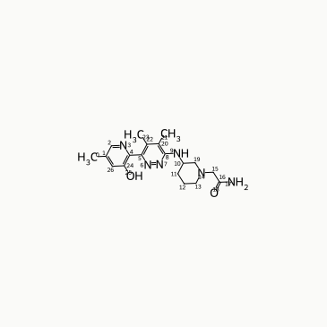 Cc1cnc(-c2nnc(NC3CCCN(CC(N)=O)C3)c(C)c2C)c(O)c1